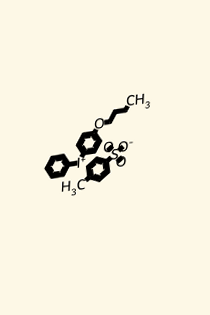 CCCCOc1ccc([I+]c2ccccc2)cc1.Cc1ccc(S(=O)(=O)[O-])cc1